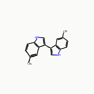 N#Cc1ccc2[nH]cc(-c3c[nH]c4ccc(C#N)cc34)c2c1